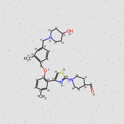 Cc1ccc(OCc2ccc(CN3CCC(O)CC3)cc2C)c(-c2csc(N3CCC(C=O)CC3)n2)c1